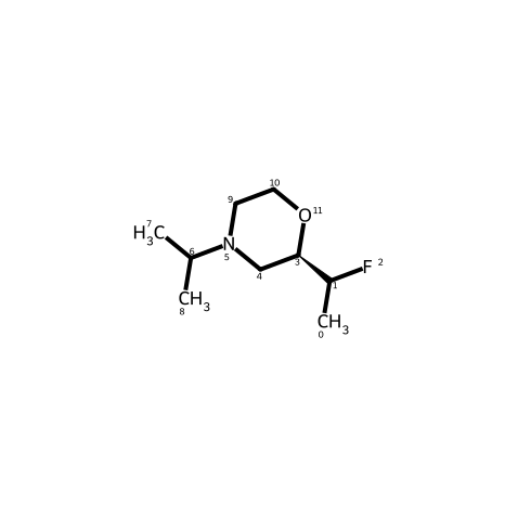 CC(F)[C@H]1CN(C(C)C)CCO1